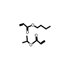 C=CC(=O)OC(C)C.C=CC(=O)OCCCC